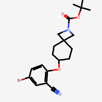 CC(C)(C)OC(=O)N1CC2(CCC(Oc3ccc(Br)cc3C#N)CC2)C1